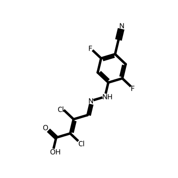 N#Cc1cc(F)c(NN=CC(Cl)=C(Cl)C(=O)O)cc1F